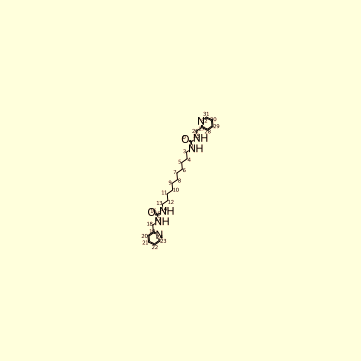 O=C(NCCCCCCCCCCCNC(=O)NCc1ccccn1)NCc1ccccn1